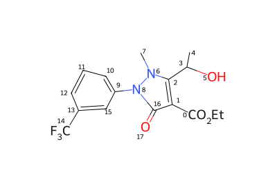 CCOC(=O)c1c(C(C)O)n(C)n(-c2cccc(C(F)(F)F)c2)c1=O